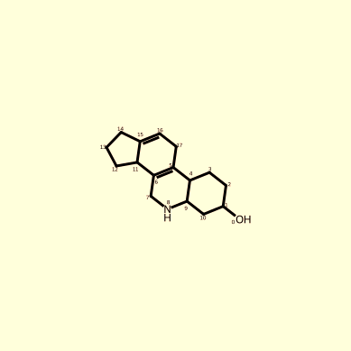 OC1CCC2C3=C(CNC2C1)C1CCCC1=CC3